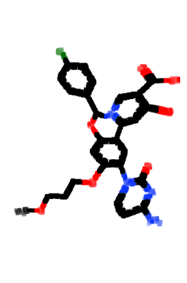 COCCCOc1cc2c(cc1-n1ccc(N)nc1=O)-c1cc(=O)c(C(=O)O)cn1C(c1ccc(Cl)cc1)O2